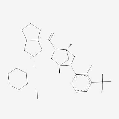 CO[C@@H]1COCC[C@@H]1N[C@@H]1C[C@H]2CCC[C@@]2(C(=O)N2C[C@@H]3C[C@H]2CN3c2nccc(C(F)(F)F)c2C)C1